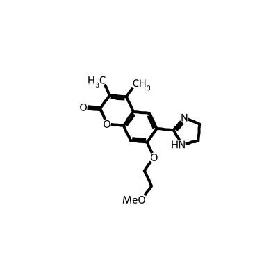 COCCOc1cc2oc(=O)c(C)c(C)c2cc1C1=NCCN1